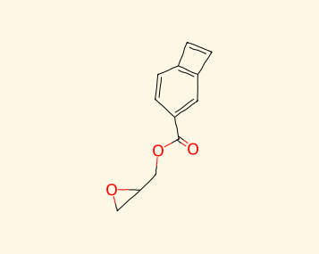 O=C(OCC1CO1)c1ccc2c(c1)C=C2